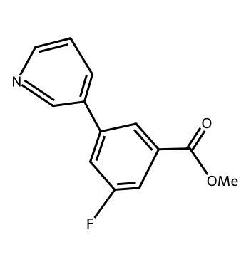 COC(=O)c1cc(F)cc(-c2cccnc2)c1